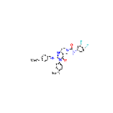 COc1ccc(CNc2nc3c(c(=O)n2-c2ccc(OC)cc2)CN(C(=O)Nc2ccc(F)c(F)c2)CC3)cc1